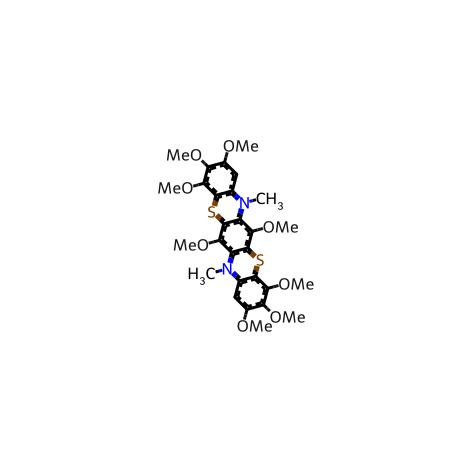 COc1cc2c(sc3c(OC)c4c(sc5c(OC)c(OC)c(OC)cc5n4C)c(OC)c3n2C)c(OC)c1OC